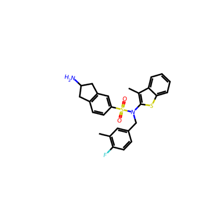 Cc1cc(CN(c2sc3ccccc3c2C)S(=O)(=O)c2ccc3c(c2)CC(N)C3)ccc1F